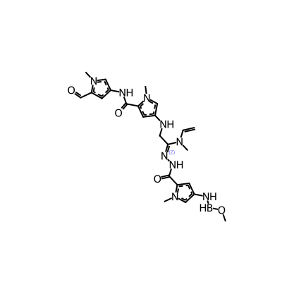 C=CN(C)/C(CNc1cc(C(=O)Nc2cc(C=O)n(C)c2)n(C)c1)=N\NC(=O)c1cc(NBOC)cn1C